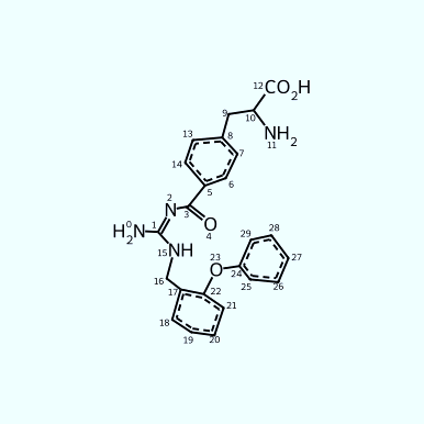 NC(=NC(=O)c1ccc(CC(N)C(=O)O)cc1)NCc1ccccc1Oc1ccccc1